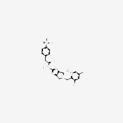 Cc1cnc([C@H](C)N2Cc3sc(NC(=O)Cc4ccc(S(C)(=O)=O)cc4)nc3[C@@H]2C(C)C)c(F)c1